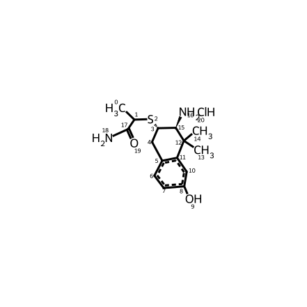 CC(S[C@H]1Cc2ccc(O)cc2C(C)(C)[C@@H]1N)C(N)=O.Cl